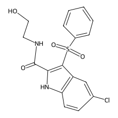 O=C(NCCO)c1[nH]c2ccc(Cl)cc2c1S(=O)(=O)c1ccccc1